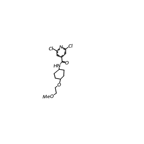 COCCOC1CCC(NC(=O)c2cc(Cl)nc(Cl)c2)CC1